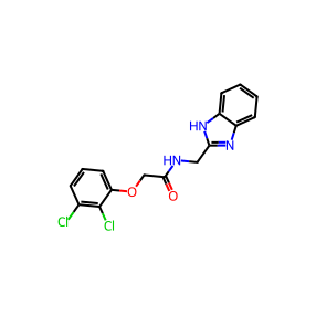 O=C(COc1cccc(Cl)c1Cl)NCc1nc2ccccc2[nH]1